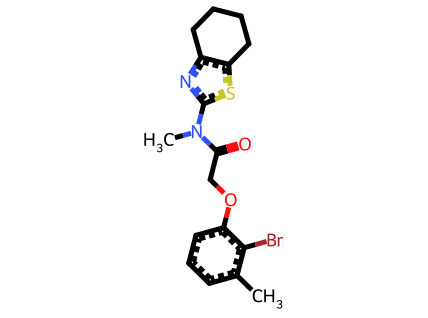 Cc1cccc(OCC(=O)N(C)c2nc3c(s2)CCCC3)c1Br